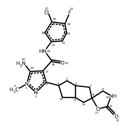 Cn1nc(C2CC3CC4(CNC(=O)O4)CC3C2)c(C(=O)Nc2ccc(F)c(Cl)c2)c1N